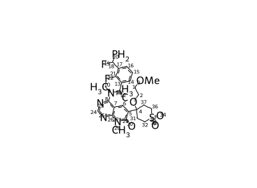 COCCOC1(c2cc3c(N(C)[C@H](C)c4cccc(C(F)P)c4F)ncnc3n(C)c2=O)CCS(=O)(=O)CC1